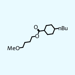 CCCCC1CCC(C(=O)OCCCCOC)CC1